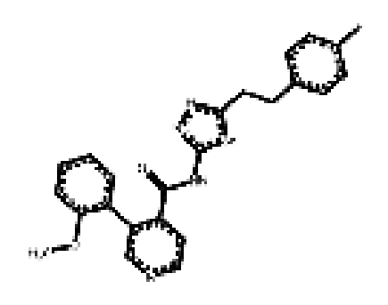 COc1ccccc1-c1cnccc1C(=O)Nc1nnc(CCc2ccc(F)cc2)[se]1